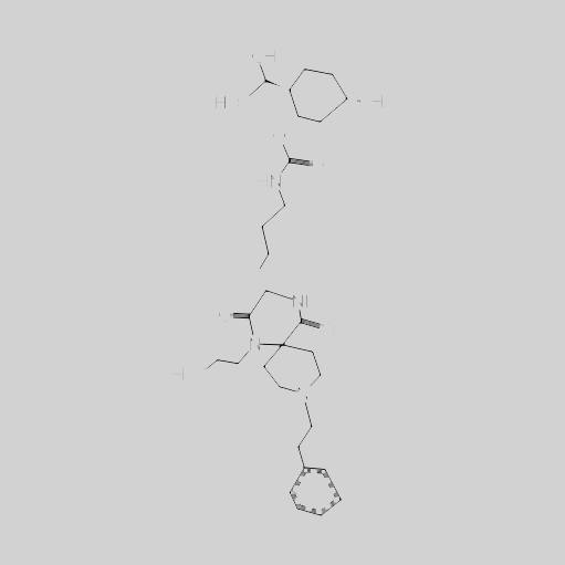 CCCN1C(=O)[C@H](CCCCNC(=O)O[C@H]2C[C@@H](C)CC[C@@H]2C(C)C)NC(=O)C12CCN(CCc1ccccc1)CC2